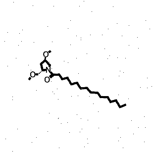 CCCCCCCCCCCCCCCC(=O)N1C[C@H](OC)C[C@H]1COC